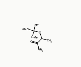 CCC[Si](OC)(OC)OC(C)C(N)=O